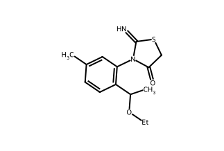 CCOC(C)c1ccc(C)cc1N1C(=N)SCC1=O